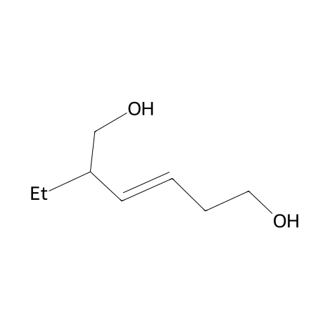 CCC(C=CCCO)CO